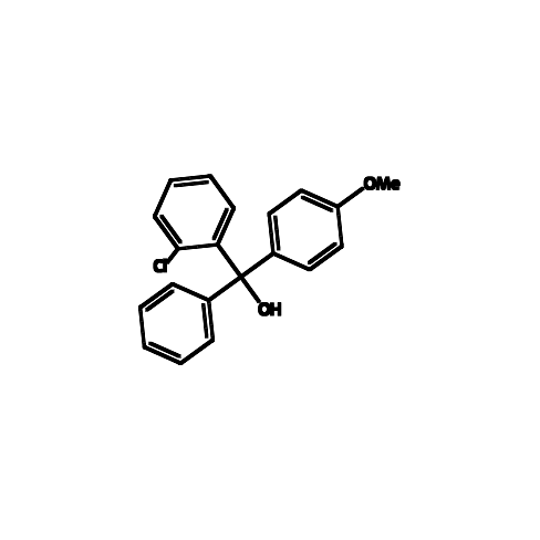 COc1ccc(C(O)(c2ccccc2)c2ccccc2Cl)cc1